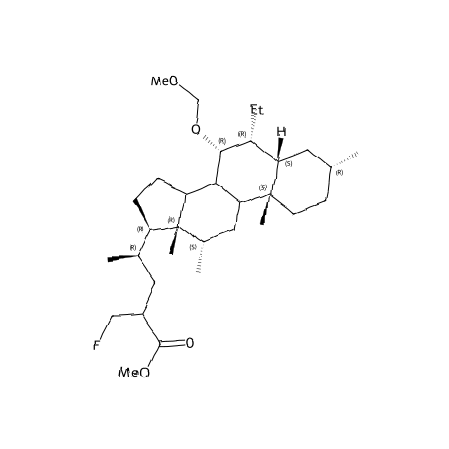 CC[C@H]1[C@@H](OCOC)C2C3CC[C@H]([C@H](C)CC(CF)C(=O)OC)[C@@]3(C)[C@@H](C)CC2[C@@]2(C)CC[C@@H](C)C[C@@H]12